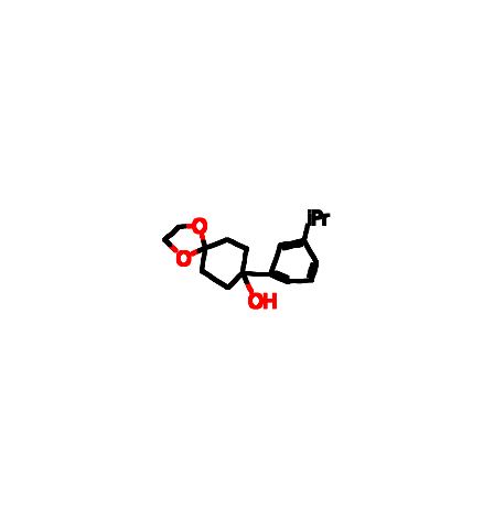 CC(C)c1cccc(C2(O)CCC3(CC2)OCCO3)c1